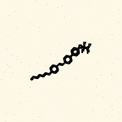 CCCCCCC[C@H]1CC[C@H](CC[C@H]2CC[C@H](c3ccc(OC(F)(F)C(F)F)cc3)CC2)CC1